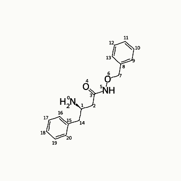 N[C@@H](CC(=O)NOCc1ccccc1)Cc1ccccc1